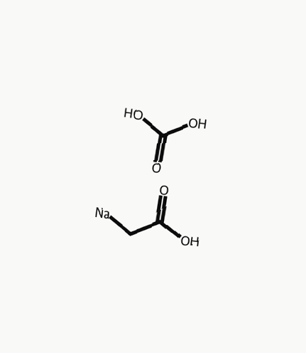 O=C(O)O.O=C(O)[CH2][Na]